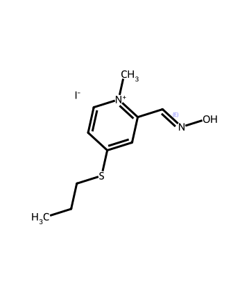 CCCSc1cc[n+](C)c(/C=N/O)c1.[I-]